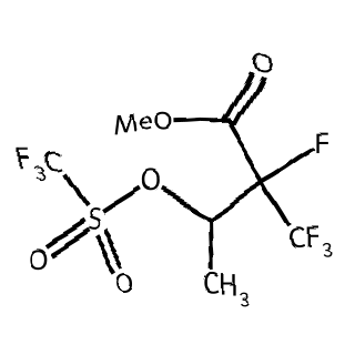 COC(=O)C(F)(C(C)OS(=O)(=O)C(F)(F)F)C(F)(F)F